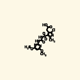 COc1cc(OC)nc(NC(=O)NS(=O)(=O)c2c(CC(=O)O)c(Cl)nn2C)n1